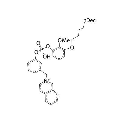 CCCCCCCCCCCCCCOc1cccc(OP(=O)(O)Oc2cccc(C[n+]3ccc4ccccc4c3)c2)c1OC